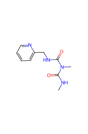 CNC(=O)N(C)C(=O)NCc1ccccn1